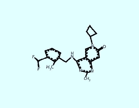 Cc1nc(NCc2cccc(C(F)F)c2C)c2cn(C3CCC3)c(=O)cc2n1